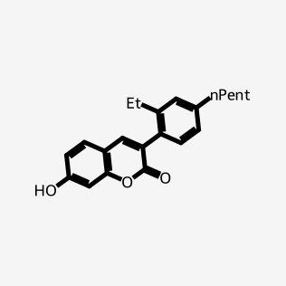 CCCCCc1ccc(-c2cc3ccc(O)cc3oc2=O)c(CC)c1